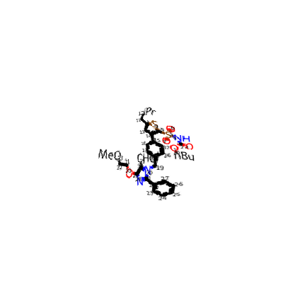 CCCCOC(=O)NS(=O)(=O)c1sc(CC(C)C)cc1-c1ccc(Cn2c(-c3ccccc3)nc(OCCOC)c2C=O)cc1